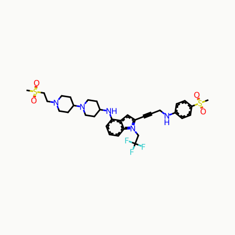 CS(=O)(=O)CCN1CCC(N2CCC(Nc3cccc4c3cc(C#CCNc3ccc(S(C)(=O)=O)cc3)n4CC(F)(F)F)CC2)CC1